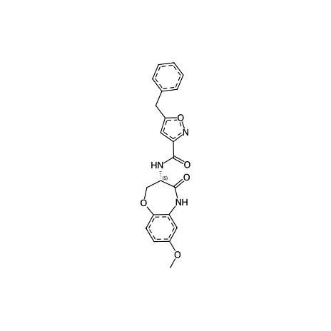 COc1ccc2c(c1)NC(=O)[C@@H](NC(=O)c1cc(Cc3ccccc3)on1)CO2